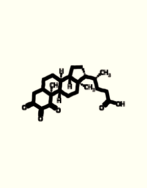 C[C@H](CCC(=O)O)[C@H]1CC[C@H]2[C@@H]3CCC4CC(=O)C(=O)C(=O)[C@]4(C)[C@H]3CC[C@]12C